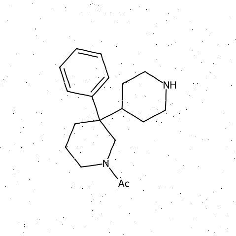 CC(=O)N1CCCC(c2ccccc2)(C2CCNCC2)C1